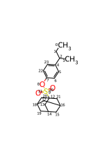 CCC(C)c1ccc(OS(=O)(=O)C23CC4CC(CC(C4)C2)C3)cc1